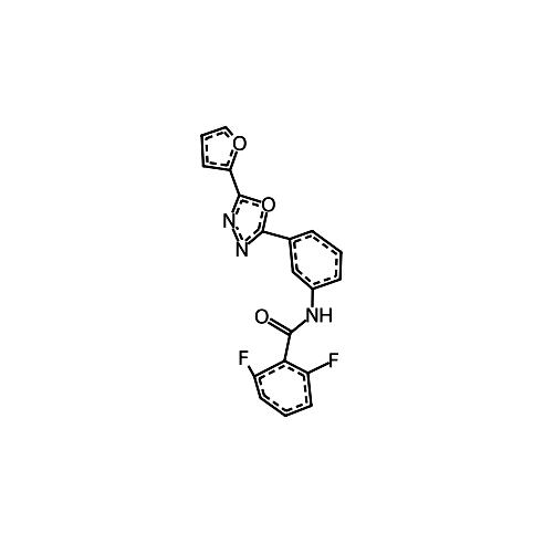 O=C(Nc1cccc(-c2nnc(-c3ccco3)o2)c1)c1c(F)cccc1F